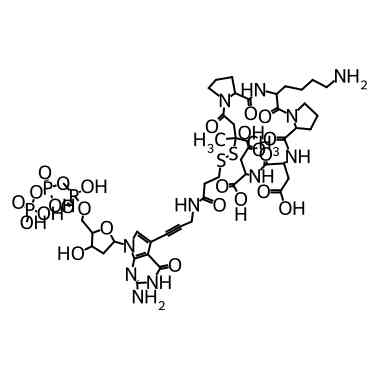 CC(C)(CC(=O)N1CCCC1C(=O)NC(CCCCN)C(=O)N1CCCC1C(=O)NC(CC(=O)O)C(=O)NC(CC(=O)O)C(=O)O)SSCCC(=O)NCC#Cc1cn(C2CC(O)C(COP(=O)(O)OP(=O)(O)OP(=O)(O)O)O2)c2nc(N)[nH]c(=O)c12